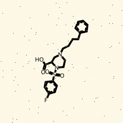 O=C(O)C1CN(CCCCc2ccccc2)CCN1S(=O)(=O)c1ccc(F)cc1